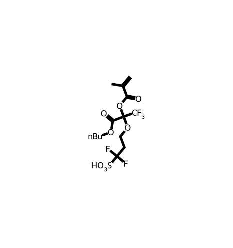 C=C(C)C(=O)OC(OCCC(F)(F)S(=O)(=O)O)(C(=O)OCCCC)C(F)(F)F